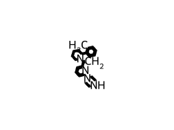 C=C(c1cccc(N2CCNCC2)n1)N1CCCCC1c1ccccc1C